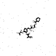 CC(C)C(C)C(=O)Oc1ccc(C[C@H](N)C(=O)O[C@@H](C)COC(=O)C2CCCCC2)cc1OC(=O)C(C)C(C)C